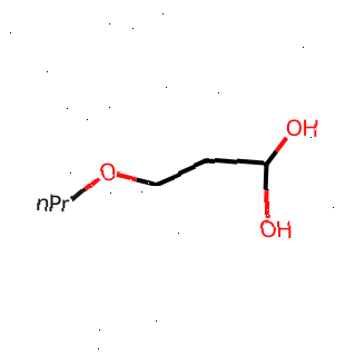 CCCOCCC(O)O